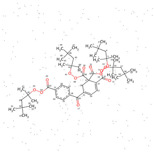 CC(C)(C)CC(C)(C)OOC(=O)C1=CC=C(C(=O)c2ccc(C(=O)OOC(C)(C)CC(C)(C)C)cc2)CC1(C(=O)OOC(C)(C)CC(C)(C)C)C(=O)OOC(C)(C)CC(C)(C)C